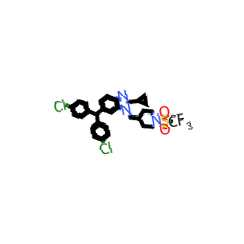 O=S(=O)(N1CCC(Cn2c(C3CC3)nc3ccc(C(c4ccc(Cl)cc4)c4ccc(Cl)cc4)cc32)CC1)C(F)(F)F